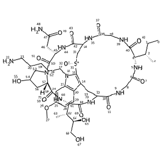 CC[C@H](C)[C@@H]1NC(=O)CNC(=O)C2Cc3c(n(CCCCCN)c4cc(OC)ccc34)[S@+]([O-])CC(NC(=O)CNC1=O)C(=O)N[C@@H](CC(N)=O)C(=O)N1CC(O)C[C@H]1C(=O)N[C@@H]([C@@H](C)[C@@H](O)CO)C(=O)N2